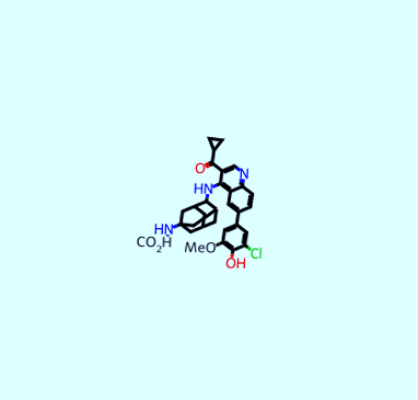 COc1cc(-c2ccc3ncc(C(=O)C4CC4)c(NC4C5CC6CC4CC(NC(=O)O)(C6)C5)c3c2)cc(Cl)c1O